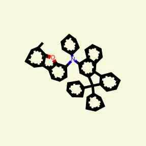 Cc1cccc2c1oc1c(N(c3ccccc3)c3cc4c(c5ccccc35)-c3ccccc3C4(c3ccccc3)c3ccccc3)cccc12